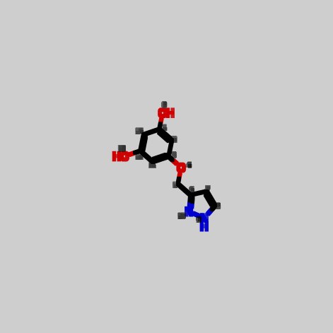 Oc1[c]c(OCc2cc[nH]n2)cc(O)c1